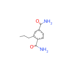 CCCc1cc(C(N)=O)ccc1C(N)=O